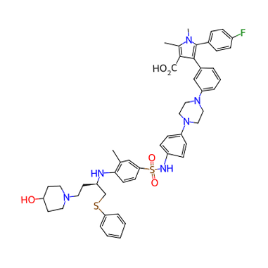 Cc1cc(S(=O)(=O)Nc2ccc(N3CCN(c4cccc(-c5c(C(=O)O)c(C)n(C)c5-c5ccc(F)cc5)c4)CC3)cc2)ccc1N[C@H](CCN1CCC(O)CC1)CSc1ccccc1